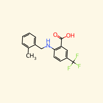 Cc1ccccc1CNc1ccc(C(F)(F)F)cc1C(=O)O